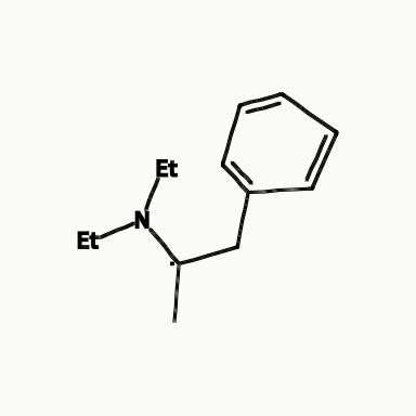 CCN(CC)[C](C)Cc1ccccc1